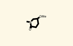 COC1CCC(=O)N(C)C1